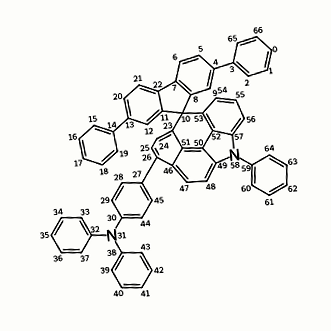 c1ccc(-c2ccc3c(c2)C2(c4cc(-c5ccccc5)ccc4-3)c3ccc(-c4ccc(N(c5ccccc5)c5ccccc5)cc4)c4ccc5c(c34)c3c2cccc3n5-c2ccccc2)cc1